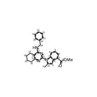 COC(=O)c1cccc2c1cc(C)n2-c1nc2c(c(NCc3ccccc3)n1)CCCC2